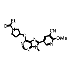 CCC(=O)N1CCC(Oc2ncnc3c2nc(-c2cnc(OC)c(C#N)c2)n3C)C1